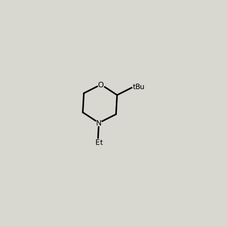 CCN1CCOC(C(C)(C)C)C1